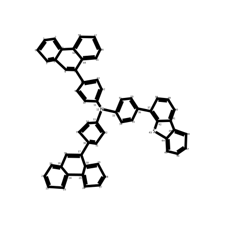 c1ccc2c(c1)cc(-c1ccc(N(c3ccc(-c4cc5ccccc5c5ccccc45)cc3)c3ccc(-c4cccc5c4sc4ccccc45)cc3)cc1)c1ccccc12